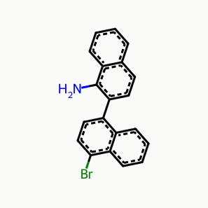 Nc1c(-c2ccc(Br)c3ccccc23)ccc2ccccc12